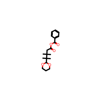 CC(C)(CC(=O)OC(=O)c1ccccc1)C(C)(C)C1OCCCO1